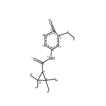 CCn1cc(NC(=O)C2C(C)(C)C2(C)C)ccc1=O